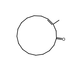 CC1=CCCCCCCCCCCCCCC(=O)C1